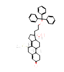 CC[C@]12CC[C@H]3[C@@H]([C@H](SC(C)=O)CC4=CC(=O)CC[C@@H]43)[C@@H]1CC[C@@]2(O)CCCOC(c1ccccc1)(c1ccccc1)c1ccccc1